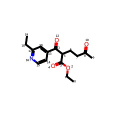 CCOC(=O)C(CCC(C)=O)C(=O)c1ccnc(CC)c1